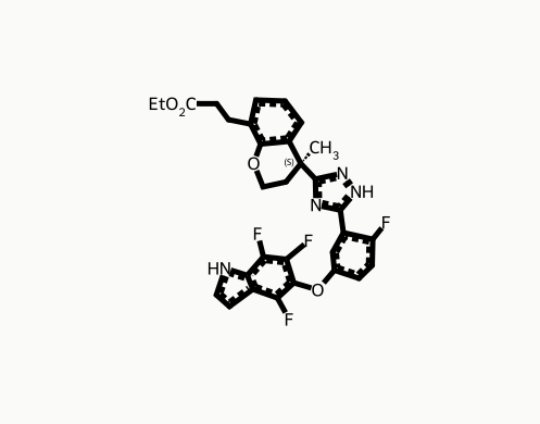 CCOC(=O)CCc1cccc2c1OCC[C@]2(C)c1n[nH]c(-c2cc(Oc3c(F)c(F)c4[nH]ccc4c3F)ccc2F)n1